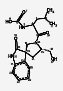 CC(C)CC(NC(=O)O)C(=O)N1C[C@]2(C[C@H]1CO)C(=O)Nc1ccccc12